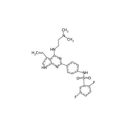 C=Cc1c[nH]c2nc(-c3ccc(NS(=O)(=O)c4cc(F)ccc4F)cc3)nc(NCCN(C)C)c12